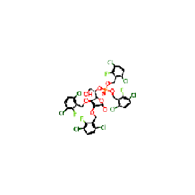 O=C1O[C@H]([C@H](CO)OP(=O)(OCc2c(Cl)ccc(Cl)c2F)OCc2c(Cl)ccc(Cl)c2F)C(OCc2c(Cl)ccc(Cl)c2F)=C1OCc1c(Cl)ccc(Cl)c1F